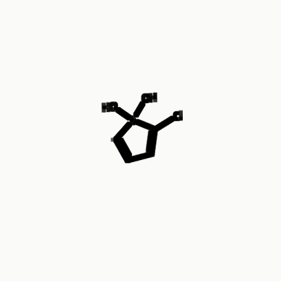 OS1(O)[C]=CC=C1Cl